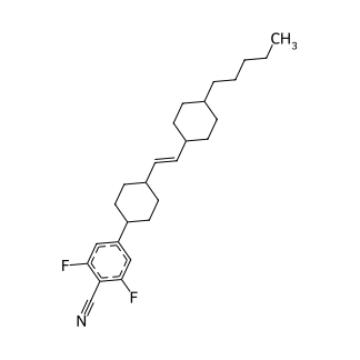 CCCCCC1CCC(C=CC2CCC(c3cc(F)c(C#N)c(F)c3)CC2)CC1